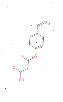 C=Cc1ccc(OC(=O)CC(=O)O)cc1